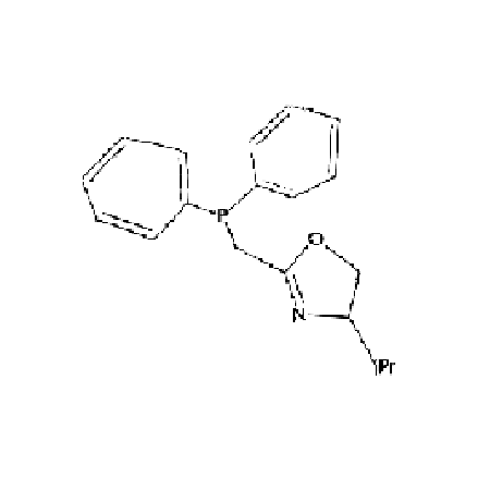 CC(C)C1COC(CP(c2ccccc2)c2ccccc2)=N1